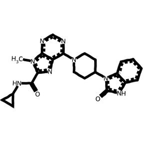 Cn1c(C(=O)NC2CC2)nc2c(N3CCC(n4c(=O)[nH]c5ccccc54)CC3)ncnc21